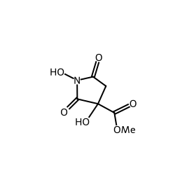 COC(=O)C1(O)CC(=O)N(O)C1=O